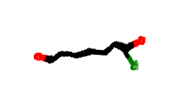 O=CCCCCCC(=O)Cl